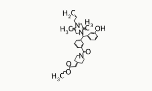 C=CCN1C[C@@H](C)N(C(c2cccc(O)c2)c2cccc(C(=O)N3CCC(=CC(=O)OCC)CC3)c2)C[C@H]1C